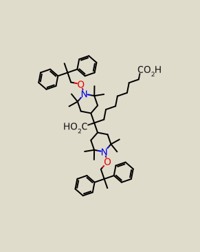 CC(CON1C(C)(C)CC(C(CCCCCCCC(=O)O)(C(=O)O)C2CC(C)(C)N(OCC(C)(c3ccccc3)c3ccccc3)C(C)(C)C2)CC1(C)C)(c1ccccc1)c1ccccc1